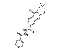 CC1(C)CCc2nc3cc(C(=O)NNC(=O)c4ccccn4)ccc3c(=O)n2C1